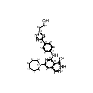 O=c1[nH]ncc2cc(N3CCCCCC3)nc(Nc3ccc(-c4nnn(CCO)n4)cc3)c12